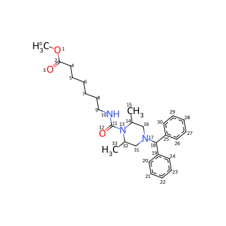 COC(=O)CCCCCCNC(=O)N1C(C)CN(C(c2ccccc2)c2ccccc2)CC1C